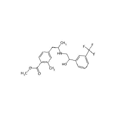 COC(=O)c1ccc(CC(C)NCC(O)c2cccc(C(F)(F)F)c2)cc1C